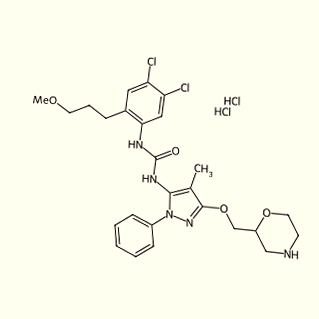 COCCCc1cc(Cl)c(Cl)cc1NC(=O)Nc1c(C)c(OCC2CNCCO2)nn1-c1ccccc1.Cl.Cl